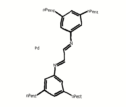 CCCCCc1cc(CCCCC)cc(N=CC=Nc2cc(CCCCC)cc(CCCCC)c2)c1.[Pd]